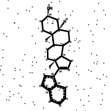 C[C@]12CCC3C(CC[C@@H]4C[C@@H](O)CC[C@]34C)C1CC=C2n1ccc2ccccc21